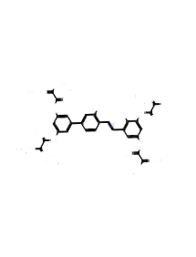 C=C(C)C(=O)Oc1cc(OC(=O)C(=C)C)cc(-c2ccc(/C=C/c3cc(OC(=O)C(=C)C)cc(OC(=O)C(=C)C)c3F)c(F)c2)c1